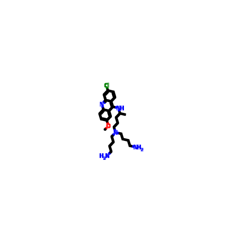 COc1ccc2nc3cc(Cl)ccc3c(NC(C)CCCN(CCCCN)CCCCN)c2c1